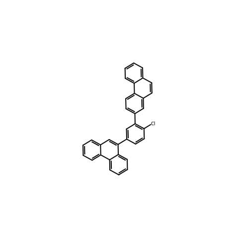 Clc1ccc(-c2cc3ccccc3c3ccccc23)cc1-c1ccc2c(ccc3ccccc32)c1